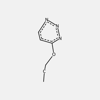 CCCOc1ccnnn1